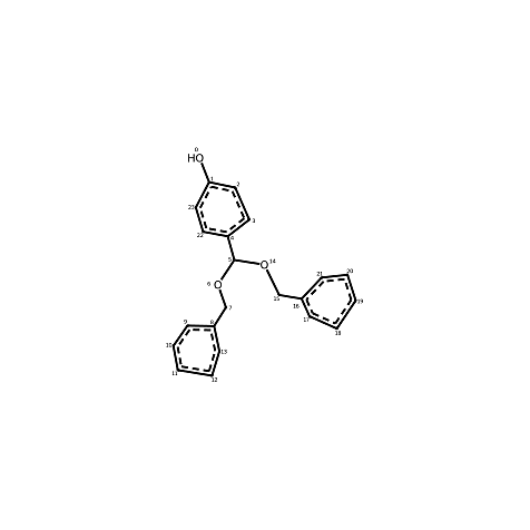 Oc1ccc(C(OCc2ccccc2)OCc2ccccc2)cc1